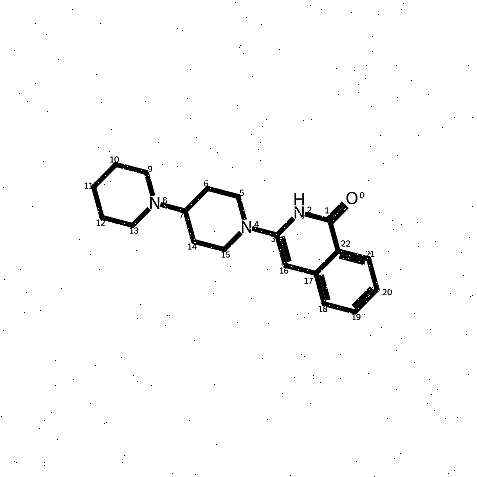 O=c1[nH]c(N2CCC(N3CCCCC3)CC2)cc2ccccc12